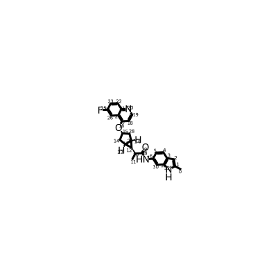 Cc1cc2ccc(NC(=O)C(C)[C@H]3[C@@H]4C[C@@H](Oc5ccnc6ccc(F)cc56)C[C@@H]43)cc2[nH]1